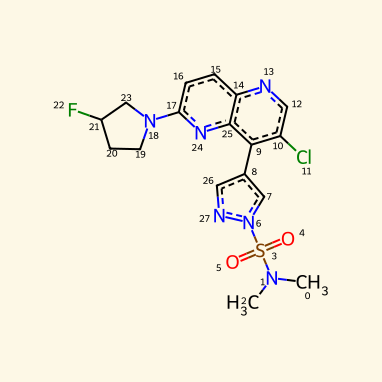 CN(C)S(=O)(=O)n1cc(-c2c(Cl)cnc3ccc(N4CCC(F)C4)nc23)cn1